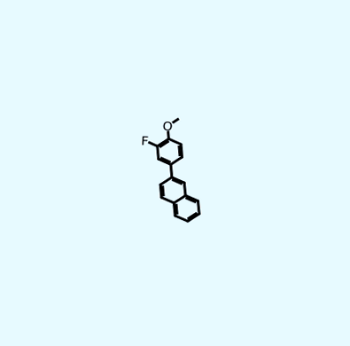 COc1ccc(-c2ccc3ccccc3c2)cc1F